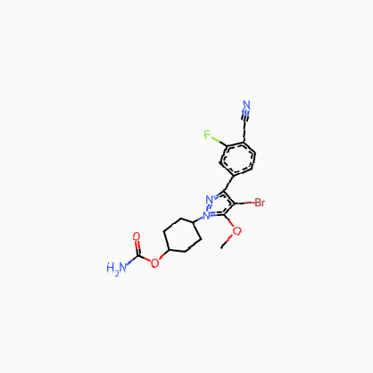 COc1c(Br)c(-c2ccc(C#N)c(F)c2)nn1C1CCC(OC(N)=O)CC1